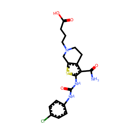 NC(=O)c1c(NC(=O)Nc2ccc(Cl)cc2)sc2c1CCN(CCCC(=O)O)C2